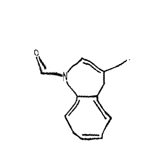 [CH2]c1cn(C=O)c2ccccc12